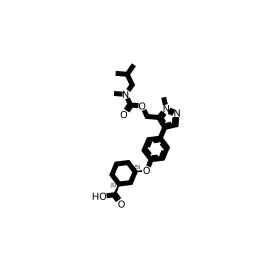 CC(C)CN(C)C(=O)OCc1c(-c2ccc(O[C@H]3CCC[C@H](C(=O)O)C3)cc2)cnn1C